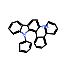 Nc1ccc2c3ccccc3n(-c3ccccc3)c2c1-c1ccccc1-c1ccccc1